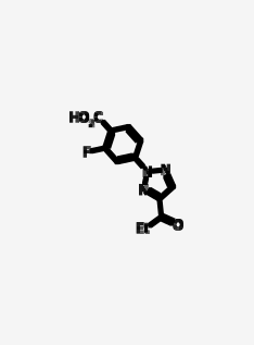 CCC(=O)c1cnn(-c2ccc(C(=O)O)c(F)c2)n1